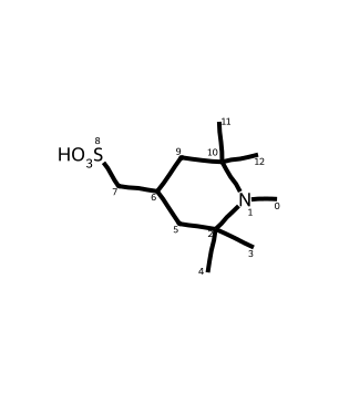 CN1C(C)(C)CC(CS(=O)(=O)O)CC1(C)C